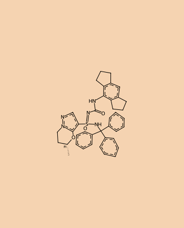 C[C@@H]1CCn2ncc(S(=O)(=NC(=O)Nc3c4c(cc5c3CCC5)CCC4)NC(c3ccccc3)(c3ccccc3)c3ccccc3)c2O1